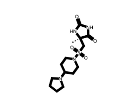 C[C@]1(CS(=O)(=O)N2CCC(N3CCCC3)CC2)NC(=O)NC1=O